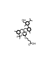 Cc1cc(CN(Cc2cc(C)ccc2-c2cc(C(C)C)cc(CO)c2C)c2ncc(OCCCC(=O)O)cn2)cc(C(F)(F)F)c1